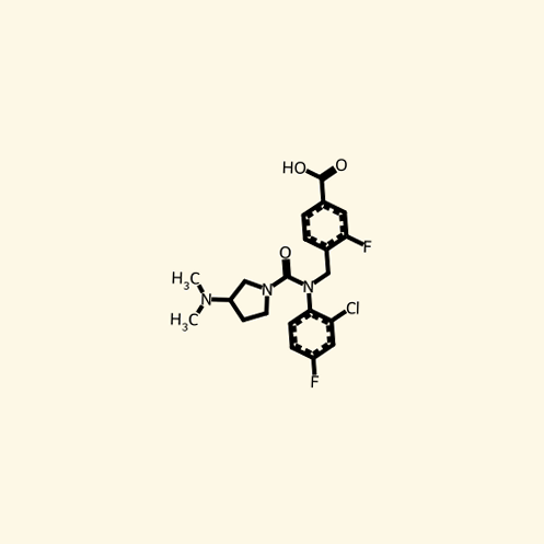 CN(C)C1CCN(C(=O)N(Cc2ccc(C(=O)O)cc2F)c2ccc(F)cc2Cl)C1